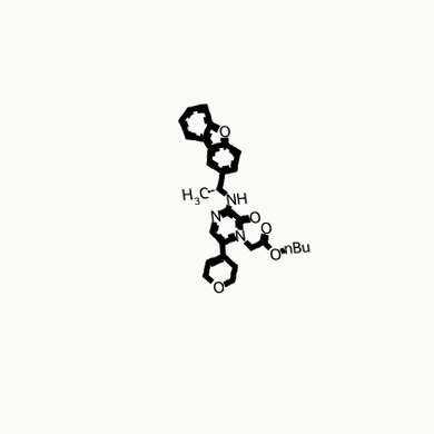 CCCCOC(=O)Cn1c(C2=CCOCC2)cnc(N[C@H](C)c2ccc3oc4ccccc4c3c2)c1=O